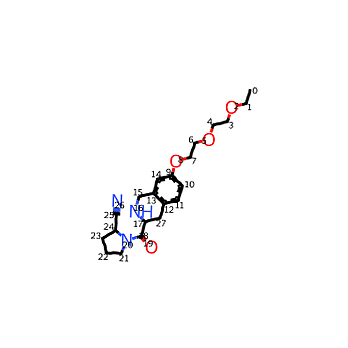 CCOCCOCCOc1ccc2c(c1)CNC(C(=O)N1CCCC1C#N)C2